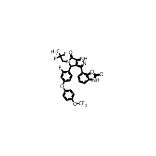 CC(F)(F)CN1C(=O)c2[nH]nc(-c3cccc4[nH]c(=O)oc34)c2C1c1ccc(Oc2ccc(OC(F)(F)F)cc2)cc1F